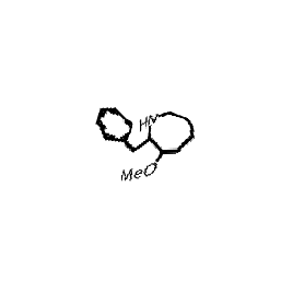 COC1CCCCNC1Cc1ccccc1